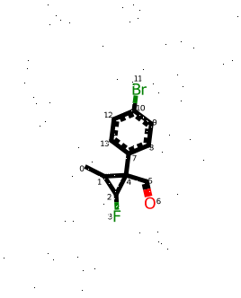 CC1C(F)C1(C=O)c1ccc(Br)cc1